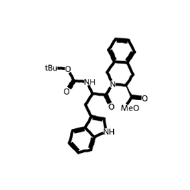 COC(=O)[C@@H]1Cc2ccccc2CN1C(=O)C(Cc1c[nH]c2ccccc12)NC(=O)OC(C)(C)C